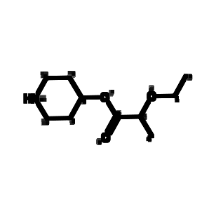 CCOC(C)C(=O)OC1CCNCC1